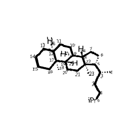 CC(C)CC[C@@H](C)[C@H]1CC[C@H]2[C@@H]3CC[C@@H]4CCCC[C@]4(C)[C@H]3CC[C@]12C